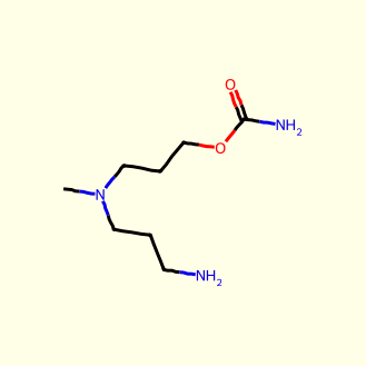 CN(CCCN)CCCOC(N)=O